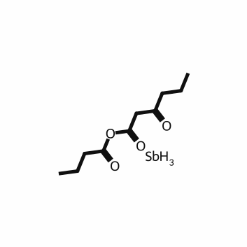 CCCC(=O)CC(=O)OC(=O)CCC.[SbH3]